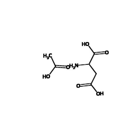 CC(=O)O.NC(CC(=O)O)C(=O)O